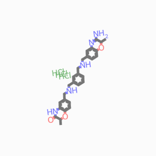 CC1Oc2ccc(CNCc3cccc(CNCc4ccc5c(c4)N=C(N)C(C)O5)c3)cc2NC1=O.Cl.Cl.Cl